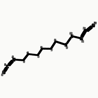 O=C=NCCCCCCSSN=C=O